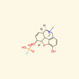 CN1CC[C@]23c4c5ccc(O)c4O[C@H]2[C@@H](O)C=C[C@H]3[C@H]1C5.O=P(O)(O)F